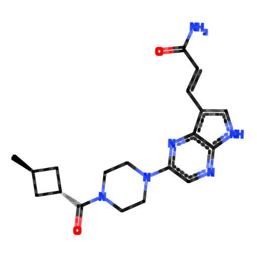 C[C@H]1C[C@H](C(=O)N2CCN(c3cnc4[nH]cc(/C=C/C(N)=O)c4n3)CC2)C1